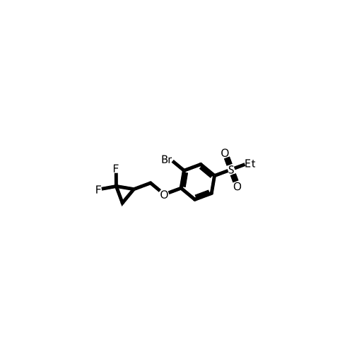 CCS(=O)(=O)c1ccc(OCC2CC2(F)F)c(Br)c1